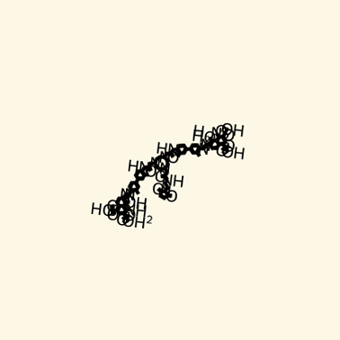 Cc1cc(-c2ccc(NC(=O)CN3CCN(CC(=O)NCCN4C(=O)C=CC4=O)CCN(CC(=O)Nc4ccc(-c5ccc(N=Nc6ccc7c(S(=O)(=O)O)cc(S(=O)(=O)O)c(N)c7c6O)c(C)c5)cc4C)CC3)c(C)c2)ccc1N=Nc1ccc2c(S(=O)(=O)O)cc(S(=O)(=O)O)c(N)c2c1O